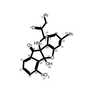 CC(C)CC(=O)C(=O)NC12C(=O)c3cccc([N+](=O)[O-])c3C1(O)Oc1cc(C(C)C)ccc12